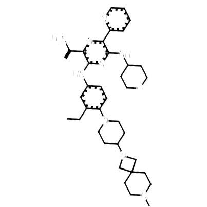 CCc1cc(Nc2nc(NC3CCOCC3)c(-c3ccccn3)nc2C(N)=O)ccc1N1CCC(N2CC3(CCN(C)CC3)C2)CC1